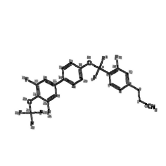 CCCc1ccc(C(F)(F)Oc2ccc(-c3cc(F)c(OC(F)(F)F)c(F)c3)cc2)c(F)c1